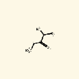 CCC(C#N)C(=O)CC(=O)O